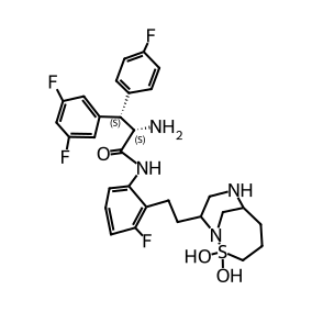 N[C@H](C(=O)Nc1cccc(F)c1CCC1CNC2CCCS(O)(O)N1C2)[C@@H](c1ccc(F)cc1)c1cc(F)cc(F)c1